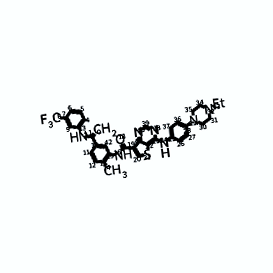 C=C(Nc1cccc(C(F)(F)F)c1)c1ccc(C)c(NC(=O)c2csc3c(Nc4ccc(N5CCN(CC)CC5)cc4)ncnc23)c1